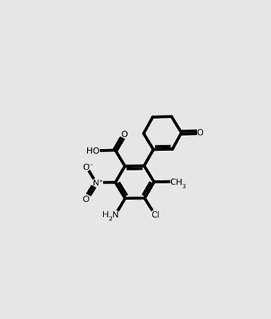 Cc1c(Cl)c(N)c([N+](=O)[O-])c(C(=O)O)c1C1=CC(=O)CCC1